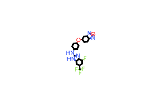 Fc1cc(C(F)(F)F)cc2[nH]c(Nc3ccc(Oc4ccc5nonc5c4)cc3)nc12